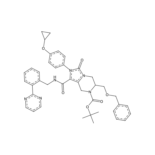 CC(C)(C)OC(=O)N1Cc2c(C(=O)NCc3ccccc3-c3ncccn3)n(-c3ccc(OC4CC4)cc3)c(=O)n2CC1COCc1ccccc1